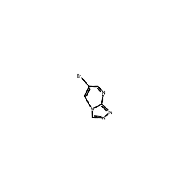 Brc1cnc2nncn2c1